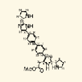 COC(=O)Cc1[nH]c([C@@H]2CCCN2)nc1-c1ccc(-c2ccc(-c3cnc([C@@H]4CCCN4)[nH]3)cc2)cc1